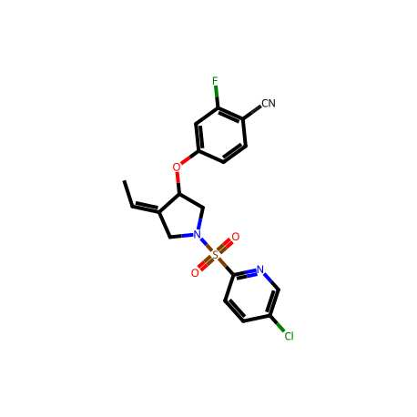 CC=C1CN(S(=O)(=O)c2ccc(Cl)cn2)CC1Oc1ccc(C#N)c(F)c1